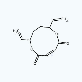 C=CC1CCC(C=C)OC(=O)/C=C\C(=O)O1